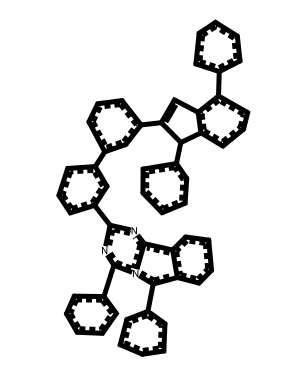 C1=C(c2cccc(-c3cccc(-c4nc(-c5ccccc5)n5c(-c6ccccc6)c6ccccc6c5n4)c3)c2)C(c2ccccc2)c2cccc(-c3ccccc3)c21